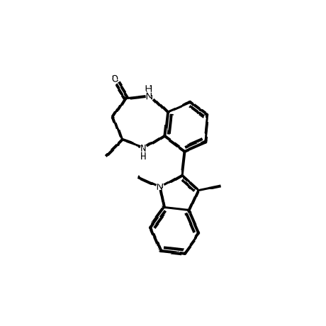 Cc1c(-c2cccc3c2NC(C)CC(=O)N3)n(C)c2ccccc12